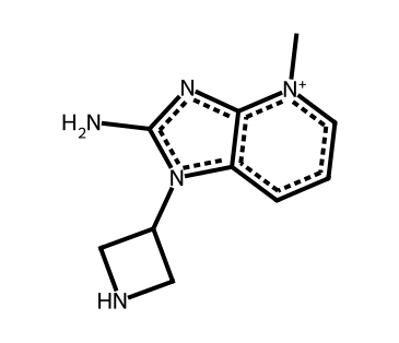 C[n+]1cccc2c1nc(N)n2C1CNC1